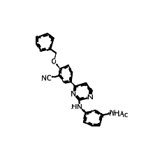 CC(=O)Nc1cccc(Nc2nccc(-c3ccc(OCc4ccccc4)c(C#N)c3)n2)c1